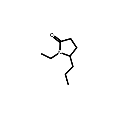 CCCC1CCC(=O)N1CC